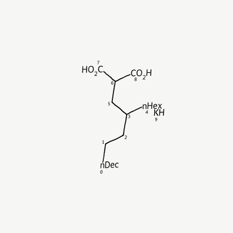 CCCCCCCCCCCCC(CCCCCC)CC(C(=O)O)C(=O)O.[KH]